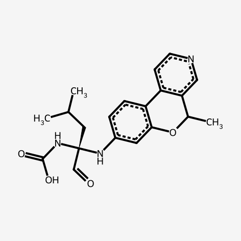 CC(C)C[C@@](C=O)(NC(=O)O)Nc1ccc2c(c1)OC(C)c1cnccc1-2